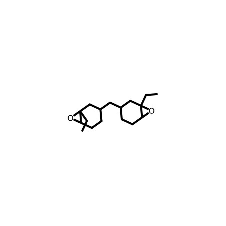 CCC12CC(CC3CCC4OC4(CC)C3)CCC1O2